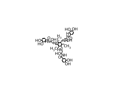 CCc1c(CNCC(O)NC(=O)c2ccc(O)c(O)c2)c(CC)c(CNCC(O)NC(=O)c2ccc(O)c(O)c2)c(CC)c1CNCC(O)NC(=O)c1ccc(O)c(O)c1